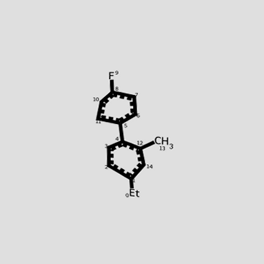 CCc1ccc(-c2ccc(F)cc2)c(C)c1